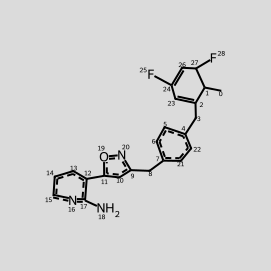 CC1C(Cc2ccc(Cc3cc(-c4cccnc4N)on3)cc2)=CC(F)=CC1F